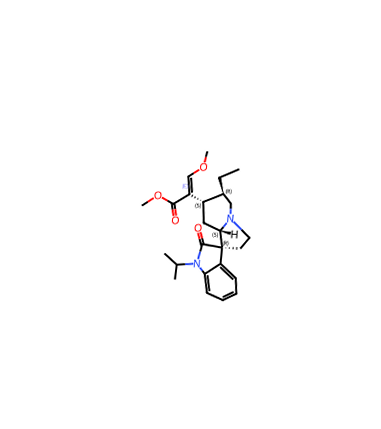 CC[C@H]1CN2CC[C@]3(C(=O)N(C(C)C)c4ccccc43)[C@@H]2C[C@@H]1/C(=C\OC)C(=O)OC